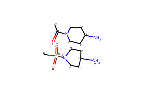 CC(=O)N1CCC(N)CC1.CS(=O)(=O)N1CCC(N)CC1